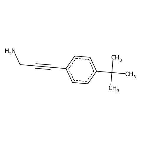 CC(C)(C)c1ccc(C#CCN)cc1